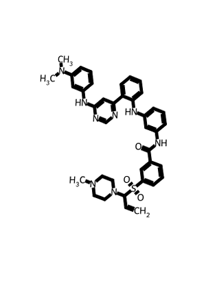 C=CC(N1CCN(C)CC1)S(=O)(=O)c1cccc(C(=O)Nc2cccc(Nc3ccccc3-c3cc(Nc4cccc(N(C)C)c4)ncn3)c2)c1